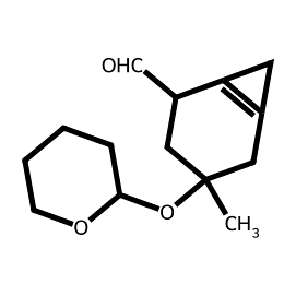 CC1(OC2CCCCO2)CC2=C(C2)C(C=O)C1